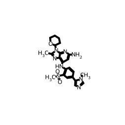 Cc1nc2c(Nc3ccc(-c4cncn4C)cc3S(C)(=O)=O)cc(N)nc2n1C1CCCCO1